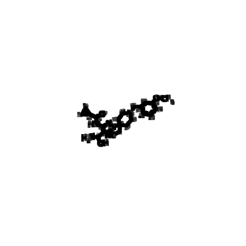 N#CCC1(n2cc(C(N)O)c(NC(=O)C3CC3)n2)CCN(Cc2cccc(OC(F)(F)F)c2)CC1